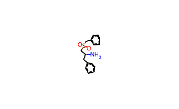 N[C@@H](Cc1ccccc1)CS(=O)(=O)Cc1ccccc1